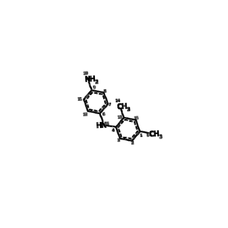 Cc1ccc(Nc2ccc(N)cc2)c(C)c1